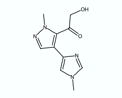 Cn1cnc(-c2cnn(C)c2C(=O)CO)c1